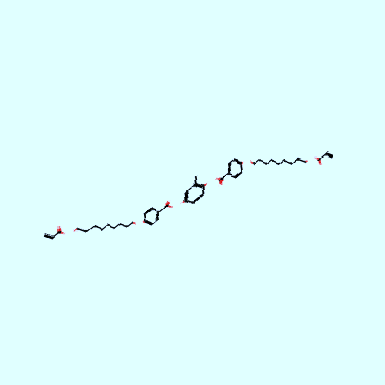 C=CC(=O)OCCCCCCCCCOc1ccc(C(=O)Oc2ccc(OC(=O)c3ccc(OCCCCCCCCCOC(=O)C=C)cc3)c(C)c2)cc1